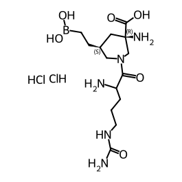 Cl.Cl.NC(=O)NCCCC(N)C(=O)N1C[C@@H](CCB(O)O)C[C@](N)(C(=O)O)C1